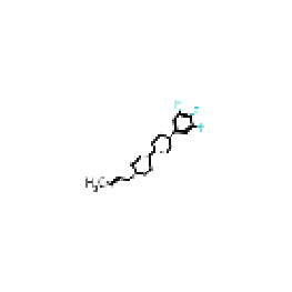 C/C=C/C[C@H]1CC[C@H]([C@H]2CC[C@H](c3cc(F)c(F)c(F)c3)CC2)CC1